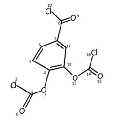 O=C(Cl)Oc1ccc(C(=O)Cl)cc1OC(=O)Cl